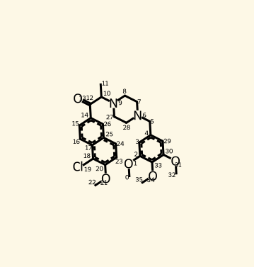 COc1cc(CN2CCN(C(C)C(=O)c3ccc4c(Cl)c(OC)ccc4c3)CC2)cc(OC)c1OC